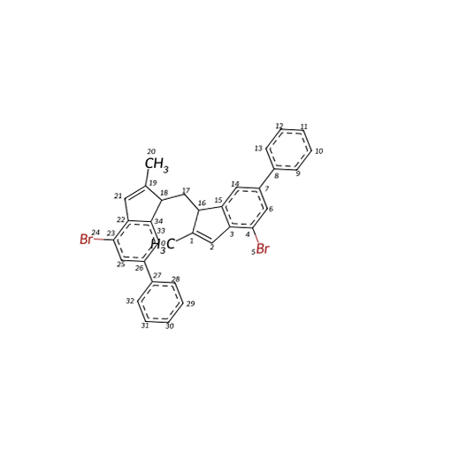 CC1=Cc2c(Br)cc(-c3ccccc3)cc2C1CC1C(C)=Cc2c(Br)cc(-c3ccccc3)cc21